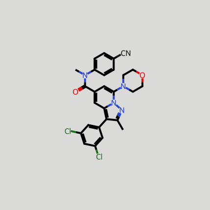 Cc1nn2c(N3CCOCC3)cc(C(=O)N(C)c3ccc(C#N)cc3)cc2c1-c1cc(Cl)cc(Cl)c1